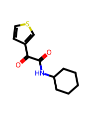 O=C(NC1CCCCC1)C(=O)c1ccsc1